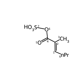 CCC/C=C(\C)C(=O)OS(=O)(=O)O